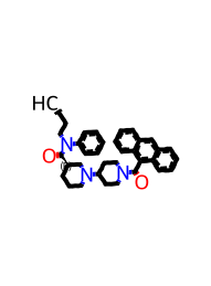 C#CCCN(C(=O)[C@@H]1CCCN(C2CCN(C(=O)c3c4ccccc4cc4ccccc34)CC2)C1)c1ccccc1